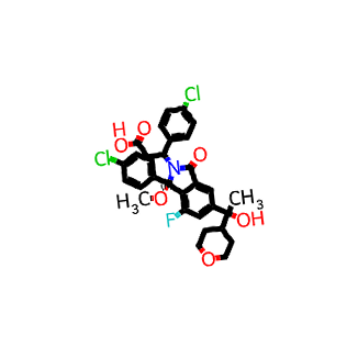 CO[C@]1(c2ccc(Cl)cc2)c2c(F)cc(C(C)(O)C3CCOCC3)cc2C(=O)N1C(CC(=O)O)c1ccc(Cl)cc1